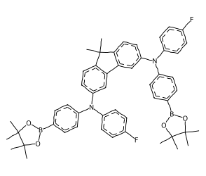 CC1(C)c2ccc(N(c3ccc(F)cc3)c3ccc(B4OC(C)(C)C(C)(C)O4)cc3)cc2-c2cc(N(c3ccc(F)cc3)c3ccc(B4OC(C)(C)C(C)(C)O4)cc3)ccc21